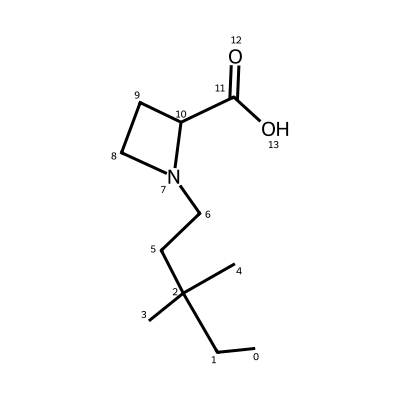 CCC(C)(C)CCN1CCC1C(=O)O